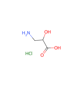 Cl.NCC(O)C(=O)O